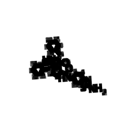 Nc1nc2ccc(NC(=O)[C@@H]3CCCN3C(=O)[C@@H](Cc3ccccc3)NS(=O)(=O)Cc3ccccc3)cc2s1